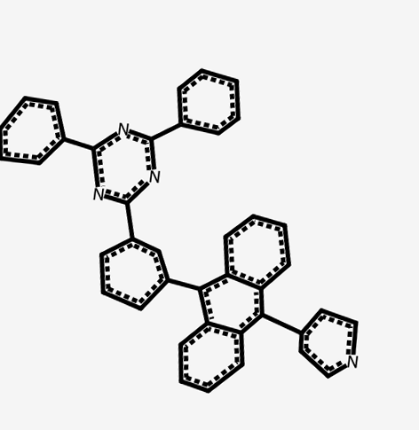 c1ccc(-c2nc(-c3ccccc3)nc(-c3cccc(-c4c5ccccc5c(-c5ccncc5)c5ccccc45)c3)n2)cc1